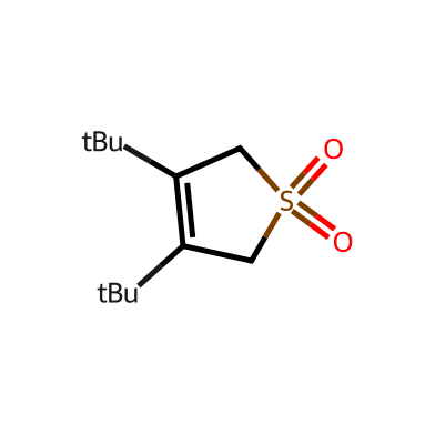 CC(C)(C)C1=C(C(C)(C)C)CS(=O)(=O)C1